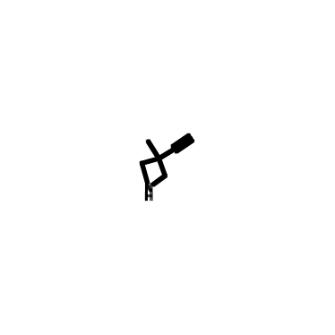 C#CC1(C)CNC1